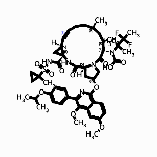 COc1ccc2c(O[C@@H]3C[C@H]4C(=O)N[C@]5(C(=O)NS(=O)(=O)C6(C)CC6)C[C@H]5/C=C\CC[C@@H](C)C[C@@H](C)[C@H](N(C(=O)O)C(C)(C)C(C)(F)F)C(=O)N4C3)nc(-c3ccc(OC(C)C)cc3)c(OC)c2c1